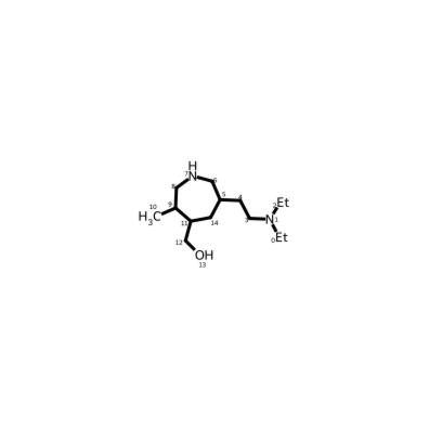 CCN(CC)CCC1CNCC(C)C(CO)C1